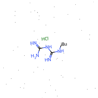 CCC(C)NC(=N)NC(=N)N.Cl